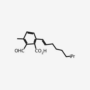 Cc1ccc(C=CCCCCC(C)C)c(C(=O)O)c1C=O